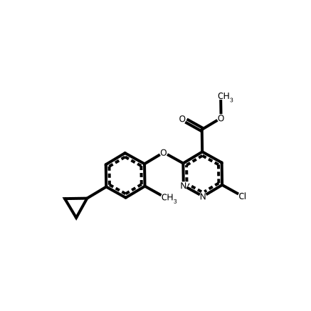 COC(=O)c1cc(Cl)nnc1Oc1ccc(C2CC2)cc1C